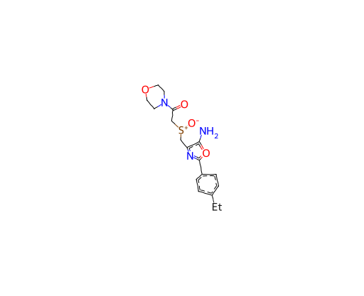 CCc1ccc(-c2nc(C[S+]([O-])CC(=O)N3CCOCC3)c(N)o2)cc1